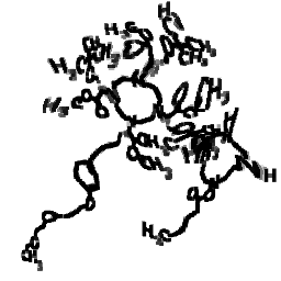 CCCCC(=O)ON1CCNCCNCCNCC1.CCOCCOCCOc1ccc(CCC[C@@H](C(=O)OC)N2CCN([C@@H](COC(C)(C)C)C(=O)OC)CCN([C@@H](COC(C)(C)C)C(=O)OC)CCN([C@@H](COC(C)(C)C)C(=O)OC)CC2)cc1